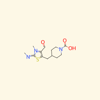 CN=c1sc(CC2CCN(C(=O)O)CC2)c(C=O)n1C